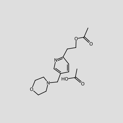 CC(=O)O.CC(=O)OCCc1ccc(CN2CCOCC2)cn1